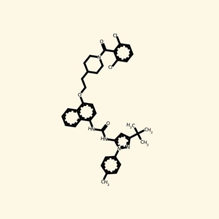 Cc1ccc(-n2nc(C(C)(C)C)cc2NC(=O)Nc2ccc(OCCC3CCN(C(=O)c4c(Cl)cccc4Cl)CC3)c3ccccc23)cc1